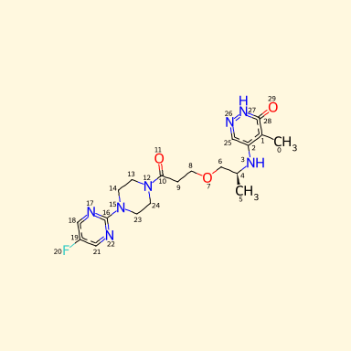 Cc1c(N[C@@H](C)COCCC(=O)N2CCN(c3ncc(F)cn3)CC2)cn[nH]c1=O